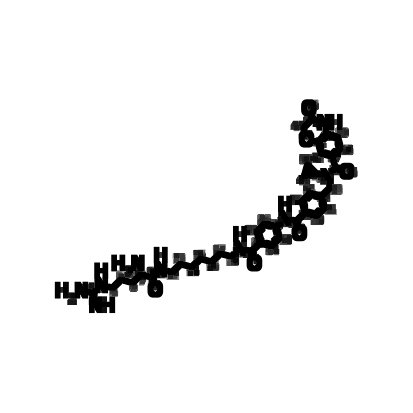 N=C(N)NCCC[C@H](N)C(=O)NCCCCCCCNC(=O)c1ccc(NC(=O)c2ccc(CN(C(=O)c3ccc4c(c3)OCC(=O)N4)C3CC3)cc2)cc1